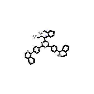 C/C=c1/cccc/c1=C(/CCC)c1nc(-c2ccc(-c3nccc4ccccc34)cc2)nc(-c2ccc(C3NC=Cc4ccccc43)cc2)n1